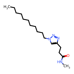 CCCCCCCCCCCn1cc(CCC(=O)NC)nn1